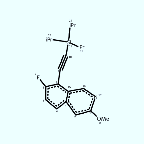 COc1cc2ccc(F)c(C#C[Si](C(C)C)(C(C)C)C(C)C)c2cn1